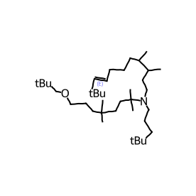 CC(CCC/C=C/C(C)(C)C)C(C)CCN(CCCC(C)(C)C)C(C)(C)CCC(C)(C)CCCOCC(C)(C)C